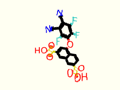 N#Cc1c(F)c(F)c(Oc2cc(S(=O)(=O)O)cc3cc(S(=O)(=O)O)ccc23)c(F)c1C#N